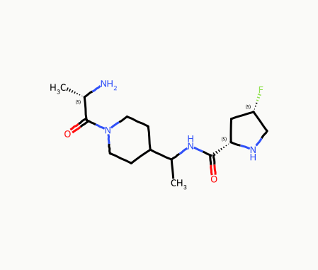 CC(NC(=O)[C@@H]1C[C@H](F)CN1)C1CCN(C(=O)[C@H](C)N)CC1